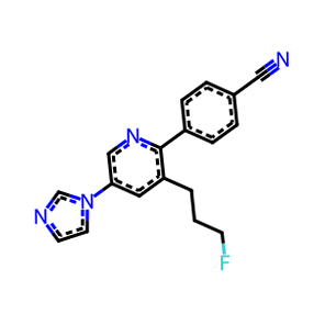 N#Cc1ccc(-c2ncc(-n3ccnc3)cc2CCCF)cc1